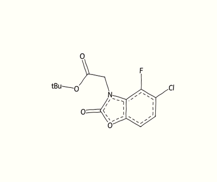 CC(C)(C)OC(=O)Cn1c(=O)oc2ccc(Cl)c(F)c21